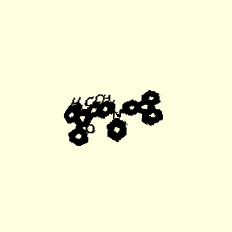 CC1(C)c2ccc(N(c3ccccc3)c3ccc4c5ccccc5c5ccccc5c4c3)cc2-c2c1c1ccccc1c1c2oc2ccccc21